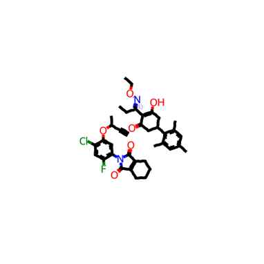 C#CC(C)Oc1cc(N2C(=O)C3=C(CCCC3)C2=O)c(F)cc1Cl.CCO/N=C(\CC)C1=C(O)CC(c2c(C)cc(C)cc2C)CC1=O